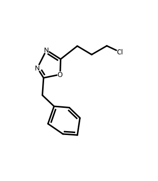 ClCCCc1nnc(Cc2ccccc2)o1